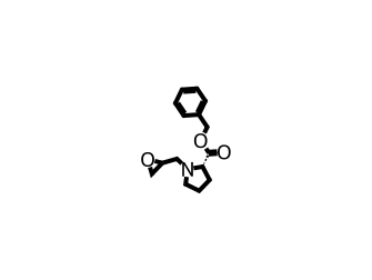 O=C(OCc1ccccc1)[C@@H]1CCCN1CC1CO1